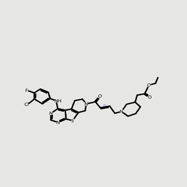 CCOC(=O)CC1CCCN(C/C=C/C(=O)N2CCc3c(sc4ncnc(Nc5ccc(F)c(Cl)c5)c34)C2)C1